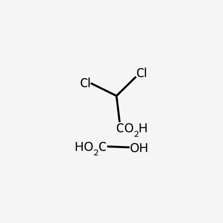 O=C(O)C(Cl)Cl.O=C(O)O